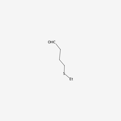 CCSCCCC=O